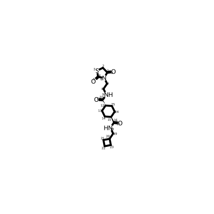 O=C1CSC(=O)N1CCNC(=O)[C@H]1CC[C@H](C(=O)NCC2CCC2)CC1